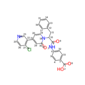 O=C(O)c1ccc(NC(=O)C(Cc2ccccc2)n2ccc(-c3cnccc3Cl)cc2=O)cc1